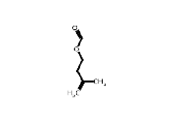 C=C(C)CCOC=O